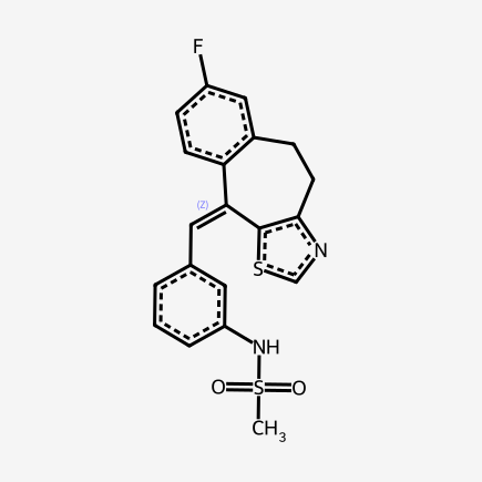 CS(=O)(=O)Nc1cccc(/C=C2/c3ccc(F)cc3CCc3ncsc32)c1